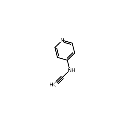 C#CNc1ccncc1